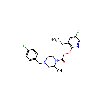 CC1CN(Cc2ccc(F)cc2)CCN1C(=O)COc1ncc(Cl)cc1CS(=O)(=O)O